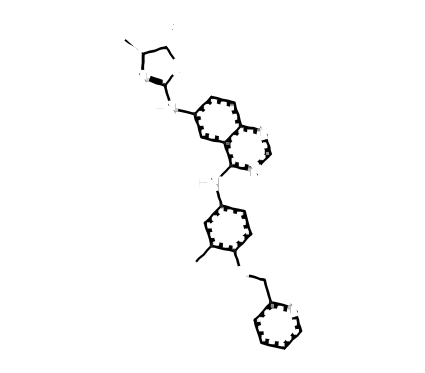 Cc1cc(Nc2ncnc3ccc(NC4=N[C@@H](C)[C@H](C)O4)cc23)ccc1OCc1ccccn1